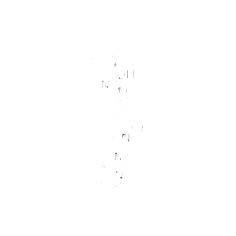 O=C(O)N(Cc1ccc(C(=O)N2CCN(c3ccccn3)CC2)cc1)Cc1cccs1